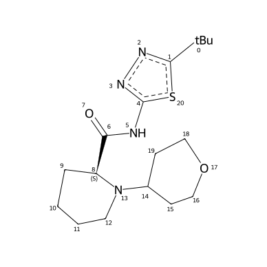 CC(C)(C)c1nnc(NC(=O)[C@@H]2CCCCN2C2CCOCC2)s1